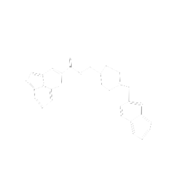 O=C(NCC1CCN(Cc2ccc3ccccc3n2)CC1)C1=Cc2cnc3cccc(n23)S1